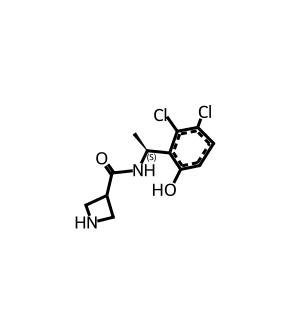 C[C@H](NC(=O)C1CNC1)c1c(O)ccc(Cl)c1Cl